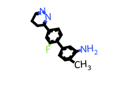 Cc1ccc(-c2ccc(C3=NN=CCC3)cc2F)cc1N